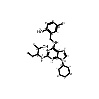 CCC(Nc1nc(NCc2cc(I)ccc2O)c2ncn(C3CCCCC3)c2n1)C(C)O